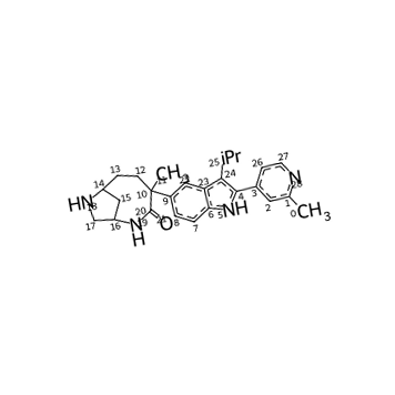 Cc1cc(-c2[nH]c3ccc(C4(C)CCC5CC(CN5)NC4=O)cc3c2C(C)C)ccn1